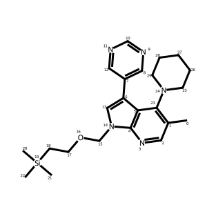 Cc1cnc2c(c(-c3cncnc3)cn2COCC[Si](C)(C)C)c1N1CCCCC1